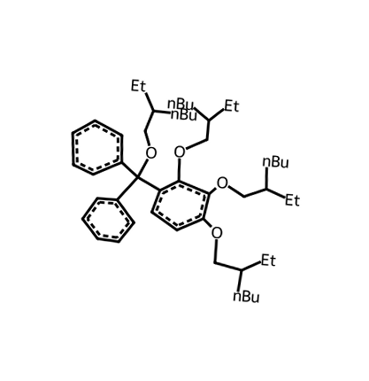 CCCCC(CC)COc1ccc(C(OCC(CC)CCCC)(c2ccccc2)c2ccccc2)c(OCC(CC)CCCC)c1OCC(CC)CCCC